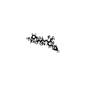 Cn1cnc2c1CC[C@H]2NC(=O)c1cc(Cc2ccc(N3CC4CC4C3)nc2C(F)F)no1